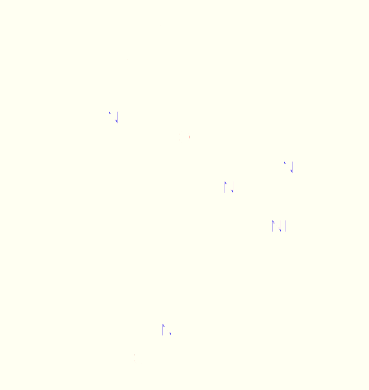 [C-]#[N+]c1ccc(Nc2nccc(Oc3cccc4cccnc34)n2)cc1